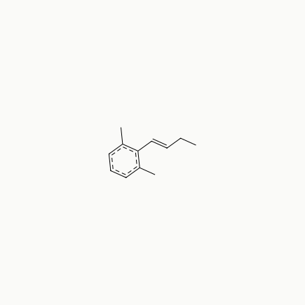 CCC=Cc1c(C)cccc1C